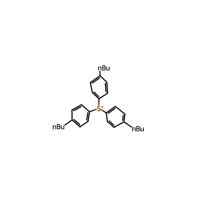 CCCCc1ccc([S+](c2ccc(CCCC)cc2)c2ccc(CCCC)cc2)cc1